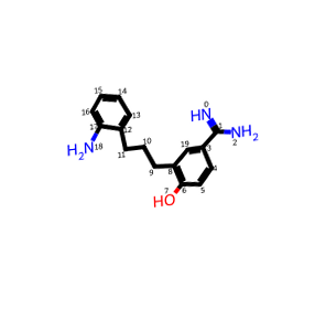 N=C(N)c1ccc(O)c(CCCc2ccccc2N)c1